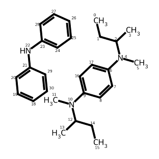 CCC(C)N(C)c1ccc(N(C)C(C)CC)cc1.c1ccc(Nc2ccccc2)cc1